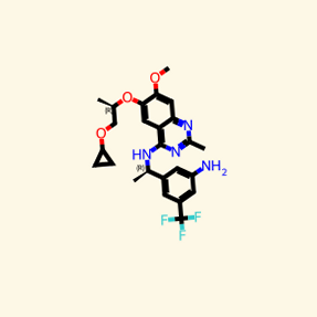 COc1cc2nc(C)nc(N[C@H](C)c3cc(N)cc(C(F)(F)F)c3)c2cc1O[C@H](C)COC1CC1